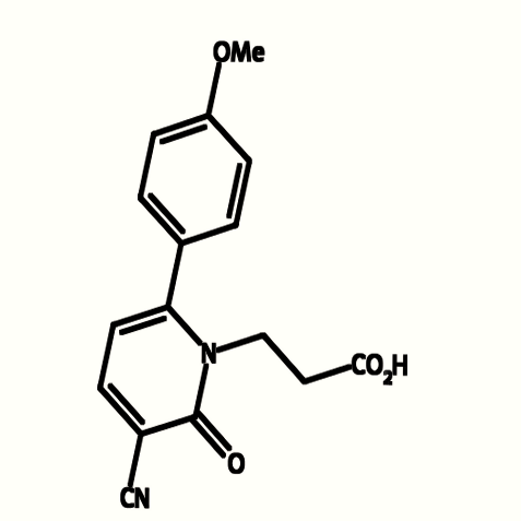 COc1ccc(-c2ccc(C#N)c(=O)n2CCC(=O)O)cc1